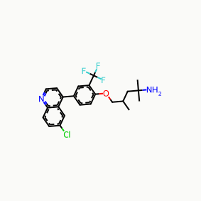 CC(COc1ccc(-c2ccnc3ccc(Cl)cc23)cc1C(F)(F)F)CC(C)(C)N